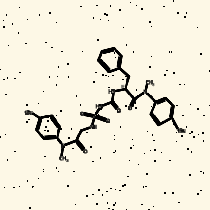 CN(C(=O)CNS(=O)(=O)NC(=O)N[C@@H](Cc1ccccc1)C(=O)N(C)c1ccc(C(C)(C)C)cc1)c1ccc(C(C)(C)C)cc1